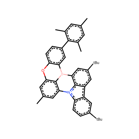 Cc1cc(C)c(-c2ccc3c(c2)B2c4c(cc(C)cc4-n4c5ccc(C(C)(C)C)cc5c5cc(C(C)(C)C)cc2c54)O3)c(C)c1